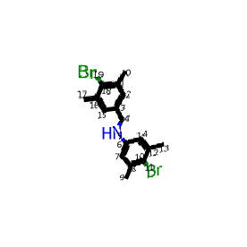 Cc1cc(CNc2cc(C)c(Br)c(C)c2)cc(C)c1Br